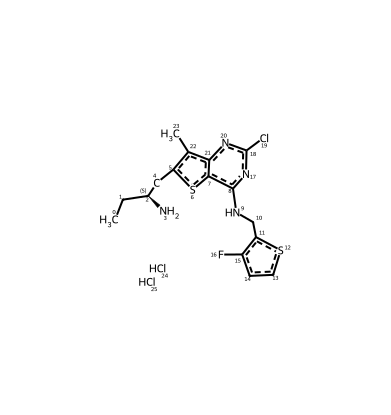 CC[C@H](N)Cc1sc2c(NCc3sccc3F)nc(Cl)nc2c1C.Cl.Cl